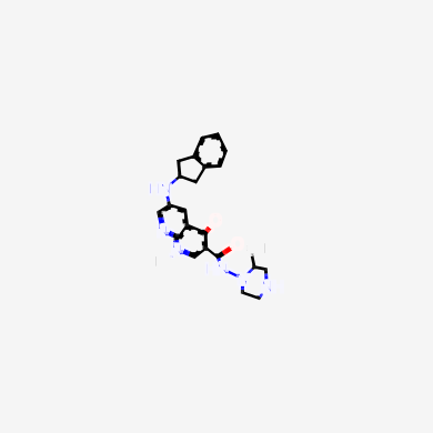 CCn1cc(C(=O)NN2CCNCC2C)c(=O)c2cc(NC3Cc4ccccc4C3)cnc21